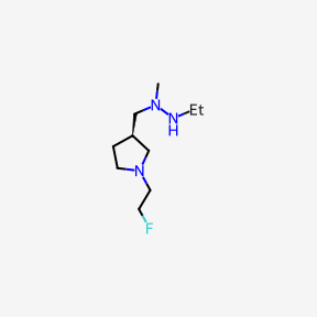 CCNN(C)C[C@@H]1CCN(CCF)C1